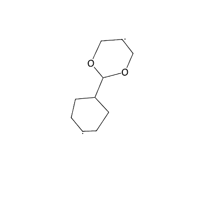 [CH]1CCC(C2OC[CH]CO2)CC1